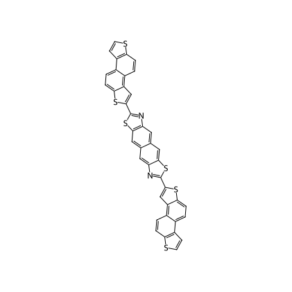 c1cc2c(ccc3c4cc(-c5nc6cc7cc8sc(-c9cc%10c(ccc%11c%12ccsc%12ccc%10%11)s9)nc8cc7cc6s5)sc4ccc23)s1